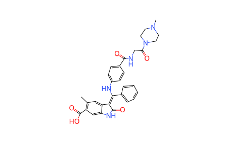 Cc1cc2c(cc1C(=O)O)NC(=O)/C2=C(/Nc1ccc(C(=O)NCC(=O)N2CCN(C)CC2)cc1)c1ccccc1